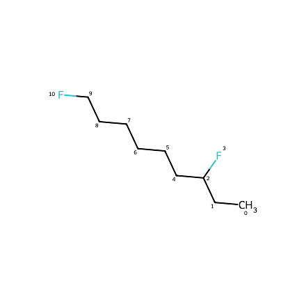 CCC(F)CCCCCCF